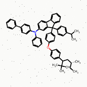 CC[C@@H](C)CC(c1ccc(Oc2ccc(C3(c4ccc(C(C)C)cc4)c4ccccc4-c4ccc(N(c5ccccc5)c5ccc(-c6ccccc6)cc5)cc43)cc2)cc1)C(C)(C)C